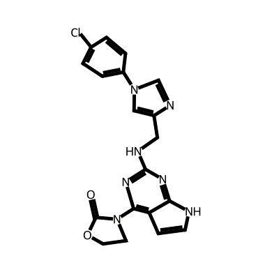 O=C1OCCN1c1nc(NCc2cn(-c3ccc(Cl)cc3)cn2)nc2[nH]ccc12